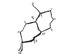 C=C1CCC2C(C)CCCC2C1